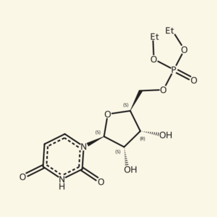 CCOP(=O)(OCC)OC[C@@H]1O[C@H](n2ccc(=O)[nH]c2=O)[C@@H](O)[C@H]1O